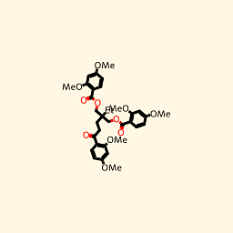 CCC(CCC(=O)c1ccc(OC)cc1OC)(COC(=O)c1ccc(OC)cc1OC)COC(=O)c1ccc(OC)cc1OC